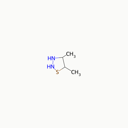 CC1NNSC1C